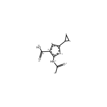 CC(=O)Nc1sc(C2CC2)cc1C(=O)O